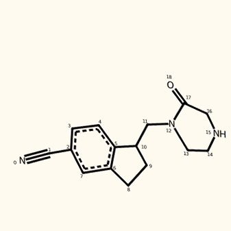 N#Cc1ccc2c(c1)CCC2CN1CCNCC1=O